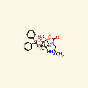 C=CCN1C(=O)O[C@](C)([C@@H](CC)O[Si](c2ccccc2)(c2ccccc2)C(C)(C)C)[C@H]1[C@@H](C)N